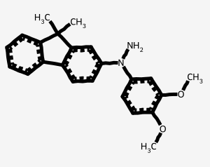 COc1ccc(N(N)c2ccc3c(c2)C(C)(C)c2ccccc2-3)cc1OC